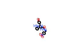 COc1ccc(-c2nc(C(=O)N/N=C\c3ccc([N+](=O)[O-])cc3)cc3c2[nH]c2ccccc23)cc1